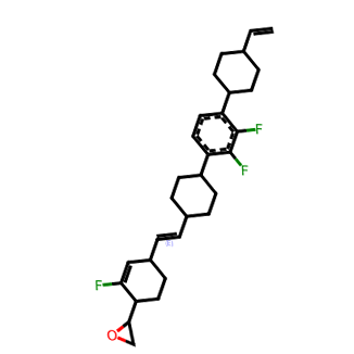 C=CC1CCC(c2ccc(C3CCC(/C=C/C4C=C(F)C(C5CO5)CC4)CC3)c(F)c2F)CC1